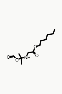 CCCCCCOC(=O)CNC(C)(C)OC=O